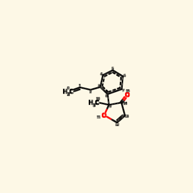 C=CCc1ccccc1C1(C)OC=CC1=O